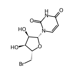 O=c1ccn([C@@H]2O[C@H](CBr)[C@@H](O)[C@H]2O)c(=O)[nH]1